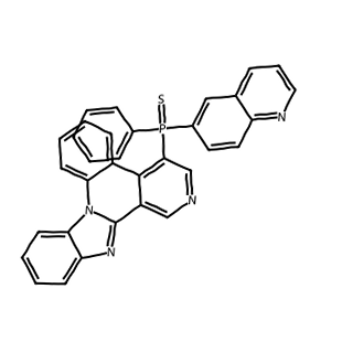 S=P(c1ccccc1)(c1ccc2ncccc2c1)c1cncc2c1c1ccccc1n1c3ccccc3nc21